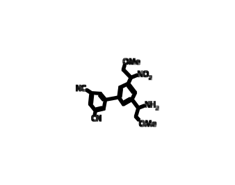 COCC(N)c1cc(-c2cc(C#N)cc(C#N)c2)cc(C(COC)[N+](=O)[O-])c1